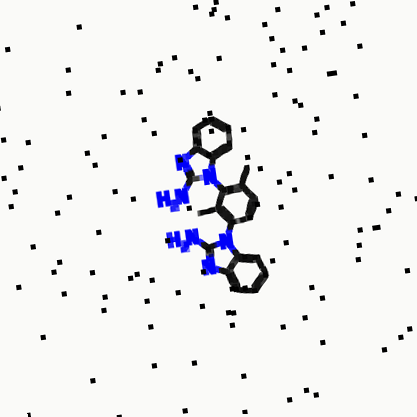 Cc1ccc(-n2c(N)nc3ccccc32)c(C)c1-n1c(N)nc2ccccc21